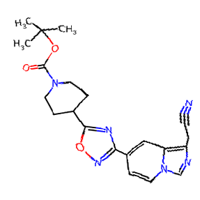 CC(C)(C)OC(=O)N1CCC(c2nc(-c3ccn4cnc(C#N)c4c3)no2)CC1